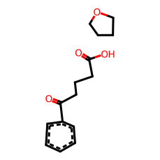 C1CCOC1.O=C(O)CCCC(=O)c1ccccc1